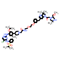 COC[C@H]1CN[C@H](C)CN1CC(=O)N1CC(C)(C)c2ncc(Cc3cccc(OCCOCCNC(=O)CN4CCC(c5cc(OC(C)C)c(Nc6ncc(Cl)c(Nc7ccccc7S(=O)(=O)C(C)C)n6)cc5C)CC4)c3)cc21